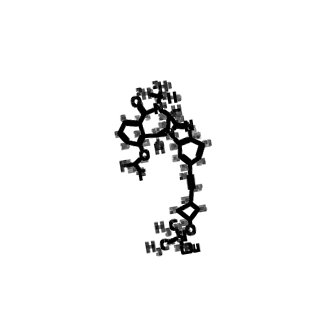 [2H]C([2H])([2H])N1C(=O)c2cccc(OC(F)F)c2[C@H]2C[C@@H]1c1nc3ccc(C#CC4CC(O[Si](C)(C)C(C)(C)C)C4)cc3n12